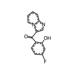 O=C(c1ccc(F)cc1O)c1cnc2ccccn12